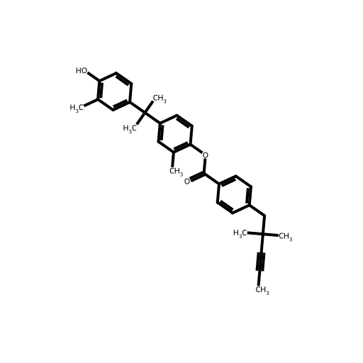 CC#CC(C)(C)Cc1ccc(C(=O)Oc2ccc(C(C)(C)c3ccc(O)c(C)c3)cc2C)cc1